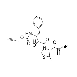 C#CCOC(=O)N[C@@H](Cc1ccccc1)[C@H](O)C(=O)N1CSC(C)(C)C1C(=O)NCCC